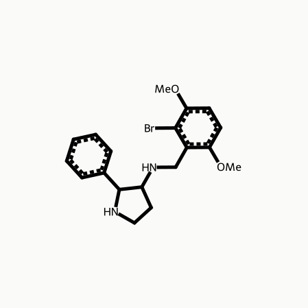 COc1ccc(OC)c(CNC2CCNC2c2ccccc2)c1Br